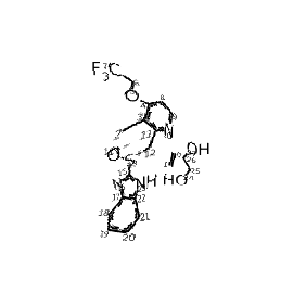 C=C.Cc1c(OCC(F)(F)F)ccnc1C[S+]([O-])c1nc2ccccc2[nH]1.OCCO